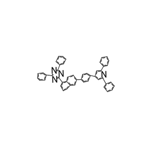 c1ccc(-c2cc(-c3ccc(-c4ccc5c(-c6nc(-c7ccccc7)nc(-c7ccccc7)n6)cccc5c4)cc3)cc(-c3ccccc3)n2)cc1